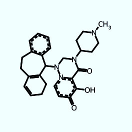 CN1CCC(N2CN(C3C4=C(C=CCC4)CCc4ccccc43)n3ccc(=O)c(O)c3C2=O)CC1